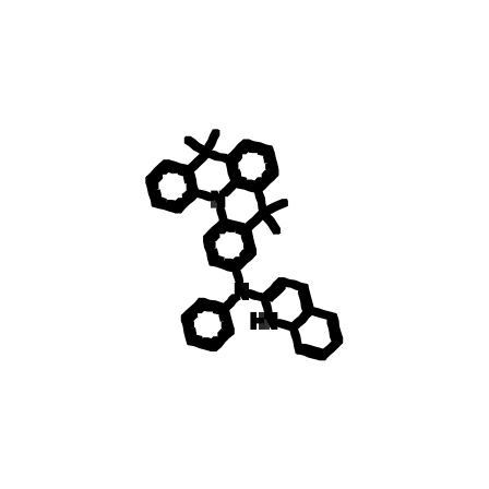 CC1(C)c2ccccc2N2c3ccc(N(C4=CC=C5C=CC=CC5N4)c4ccccc4)cc3C(C)(C)c3cccc1c32